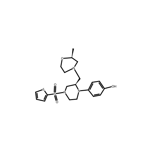 C[C@H]1CN(C[C@@H]2CN(S(=O)(=O)c3cccs3)CCN2c2ccc(O)cc2)CCO1